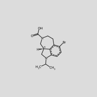 CC(C)N1C[C@@H]2CN(C(=O)O)CCc3c(Br)ccc1c32